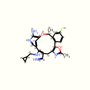 Cc1nc2c(o1)-c1ccc(F)cc1[C@@H](C)Oc1cc(cnc1N)/C(NCC1CC1)=C(/C=N)C2